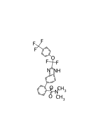 CN(C)S(=O)(=O)c1ccccc1-c1ccc2[nH]c(C(F)(F)Oc3ccc(C(F)(F)F)cc3)nc2c1